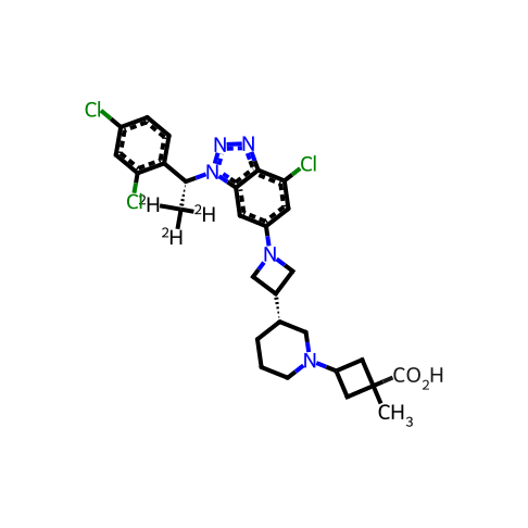 [2H]C([2H])([2H])[C@H](c1ccc(Cl)cc1Cl)n1nnc2c(Cl)cc(N3CC([C@H]4CCCN(C5CC(C)(C(=O)O)C5)C4)C3)cc21